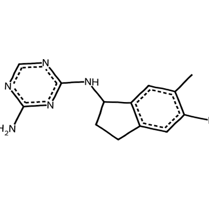 Cc1cc2c(cc1F)CCC2Nc1ncnc(N)n1